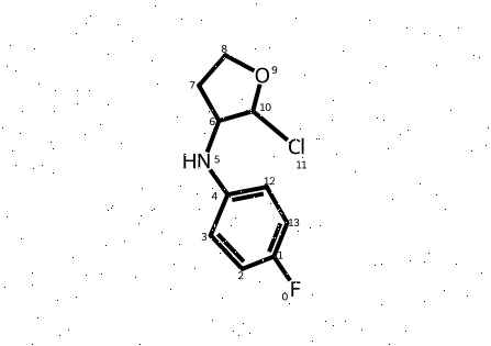 Fc1ccc(NC2CCO[C]2Cl)cc1